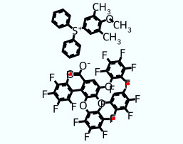 COc1c(C)cc([S+](c2ccccc2)c2ccccc2)cc1C.O=C([O-])c1cc(Oc2c(F)c(F)c(F)c(F)c2F)c(Oc2c(F)c(F)c(F)c(F)c2F)c(Oc2c(F)c(F)c(F)c(F)c2F)c1-c1c(F)c(F)c(F)c(F)c1F